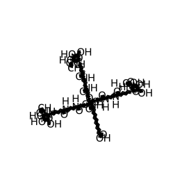 CC(=O)N[C@@H]1[C@@H](O)[C@@H](O)[C@@H](CO)O[C@@H]1CCCCCC(=O)NCCCNC(=O)CCOCC(COCCC(=O)NCCCNC(=O)CCCCC[C@H]1O[C@H](CO)[C@H](O)[C@H](O)[C@H]1NC(C)=O)(COCCC(=O)NCCCNC(=O)CCCCC[C@H]1O[C@H](CO)[C@H](O)[C@H](O)[C@H]1NC(C)=O)NC(=O)CCCCCCCCCCC(=O)O